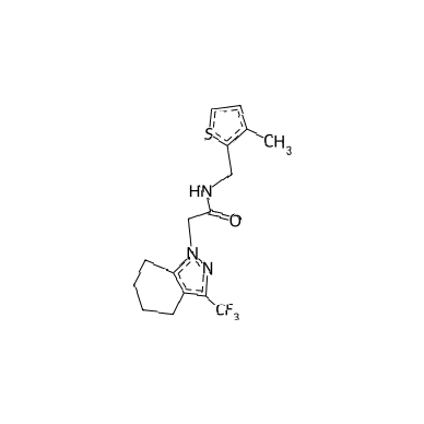 Cc1ccsc1CNC(=O)Cn1nc(C(F)(F)F)c2c1CCCC2